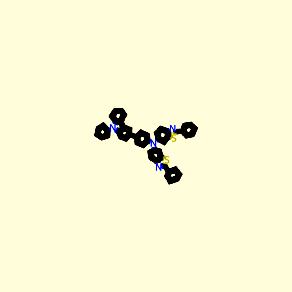 c1ccc(-c2nc3ccc(N(c4ccc(-c5ccc6c(c5)c5ccccc5n6-c5ccccc5)cc4)c4ccc5nc(-c6ccccc6)sc5c4)cc3s2)cc1